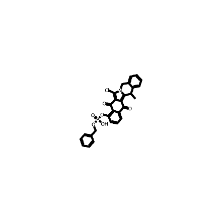 CC1c2ccccc2Cn2c(Cl)c3c(c21)C(=O)c1cccc(OP(=O)(O)OCc2ccccc2)c1C3=O